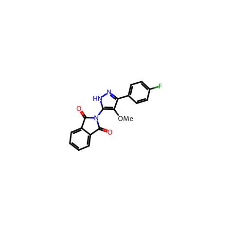 COc1c(-c2ccc(F)cc2)n[nH]c1N1C(=O)c2ccccc2C1=O